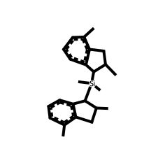 Cc1cccc2c1CC(C)C2[Si](C)(C)C1c2cccc(C)c2CC1C